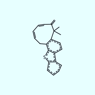 C=C1/C=C\C=C/Cc2c(ccc3c2sc2ccccc23)C1(C)C